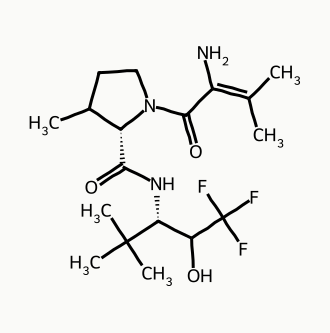 CC(C)=C(N)C(=O)N1CCC(C)[C@H]1C(=O)N[C@H](C(O)C(F)(F)F)C(C)(C)C